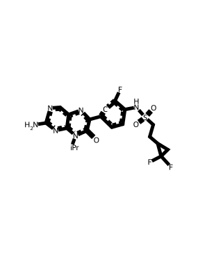 CC(C)n1c(=O)c(-c2ccc(NS(=O)(=O)CCC3CC3(F)F)c(F)c2)nc2cnc(N)nc21